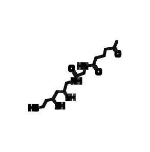 CC(=O)CCCC(=O)NCC(=O)NCC(S)CC(S)CCS